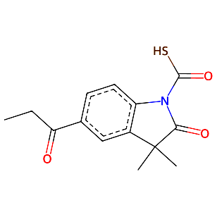 CCC(=O)c1ccc2c(c1)C(C)(C)C(=O)N2C(=O)S